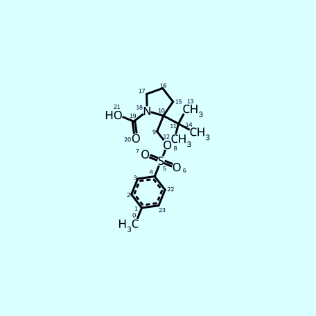 Cc1ccc(S(=O)(=O)OCC2(C(C)(C)C)CCCN2C(=O)O)cc1